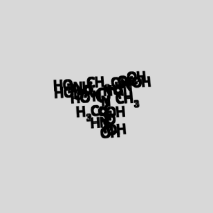 Cc1cc(CN2CCCN(Cc3cc(C)cc(C(=O)NC(CO)CO)c3O)CCN(Cc3cc(C)cc(C(=O)NC(CO)CO)c3O)CC2)c(O)c(C(=O)NC(CO)CO)c1